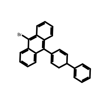 Brc1c2ccccc2c(C2=CCC(c3ccccc3)C=C2)c2ccccc12